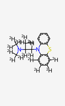 [2H]c1c([2H])c([2H])c2c(c1[2H])Sc1ccccc1N2C([2H])([2H])C([2H])(N(C([2H])([2H])[2H])C([2H])([2H])[2H])C([2H])([2H])[2H]